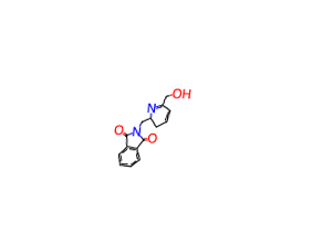 O=C1c2ccccc2C(=O)N1CC1CC=CC(CO)=N1